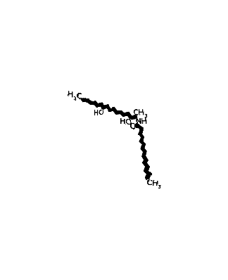 CCCCCCCCCCCCCCCC(=O)NC(C)C(O)CCCCCCCC(O)CCCCCCC